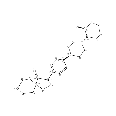 C[C@H]1CCCCN1[C@H]1CC[C@H](c2ccc(N3CCC4(CCOCC4)C3=O)cc2)CC1